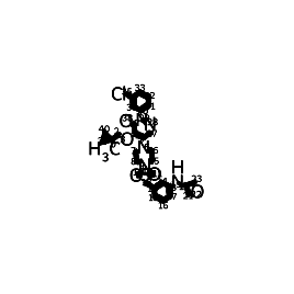 CC1(COc2c(N3CCN(S(=O)(=O)Cc4cccc(NC5COC5)c4)CC3)cnn(-c3cccc(Cl)c3)c2=O)CC1